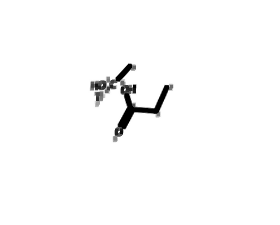 CC(=O)O.CCC(=O)O.[Tl]